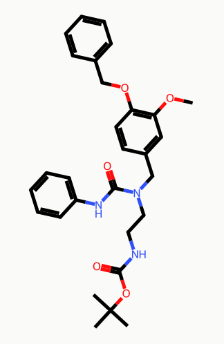 COc1cc(CN(CCNC(=O)OC(C)(C)C)C(=O)Nc2ccccc2)ccc1OCc1ccccc1